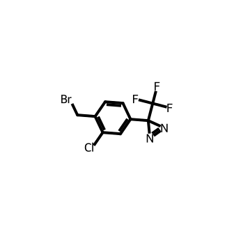 FC(F)(F)C1(c2ccc(CBr)c(Cl)c2)N=N1